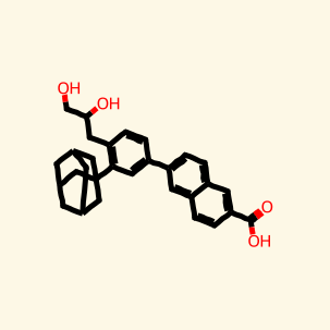 O=C(O)c1ccc2cc(-c3ccc(CC(O)CO)c(C45CC6CC(CC(C6)C4)C5)c3)ccc2c1